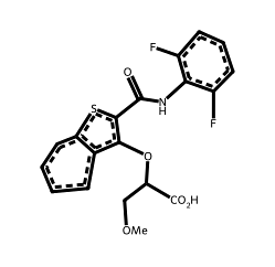 COCC(Oc1c(C(=O)Nc2c(F)cccc2F)sc2ccccc12)C(=O)O